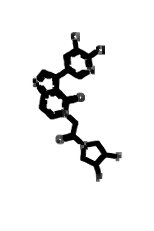 O=C(Cn1ccc2scc(-c3cnc(Cl)c(Cl)c3)c2c1=O)N1CC(F)C(F)C1